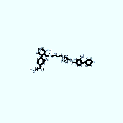 NC(=O)c1ccc2c(c1)nc(NCCCCn1cc(NCc3ccc(-c4ccccc4)c(Cl)c3)nn1)c1ccncc12